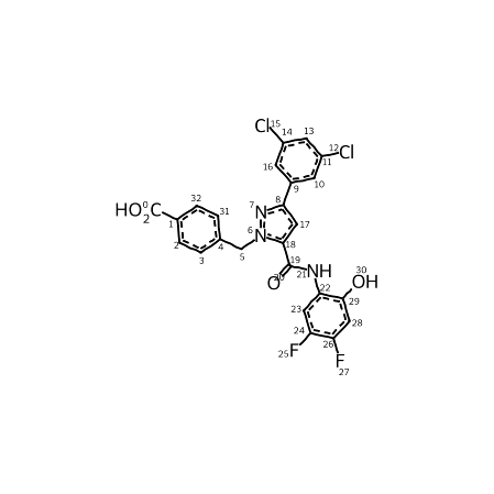 O=C(O)c1ccc(Cn2nc(-c3cc(Cl)cc(Cl)c3)cc2C(=O)Nc2cc(F)c(F)cc2O)cc1